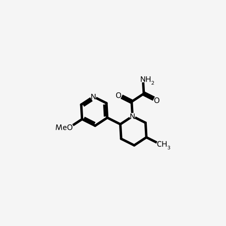 COc1cncc(C2CCC(C)CN2C(=O)C(N)=O)c1